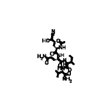 CCC(C)[C@H](NC(=O)[C@H](CCC(N)=O)NC(=O)[C@H](CCC(O)C#N)NC(C)=O)C(=O)N[C@H](C(N)=O)C(C)C